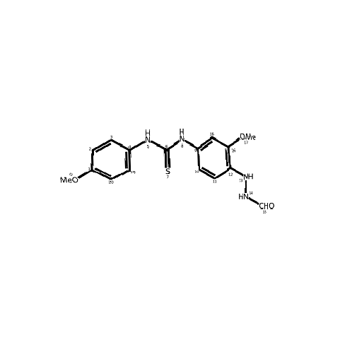 COc1ccc(NC(=S)Nc2ccc(NNC=O)c(OC)c2)cc1